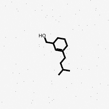 CC(C)CCC1=CC(CO)CCC1